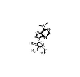 CN(C)c1ncnc2c1ncn2[C@H]1O[C@@H](CO)C(N)C1O